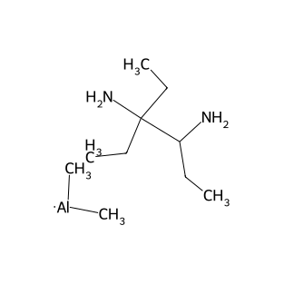 CCC(N)C(N)(CC)CC.[CH3][Al][CH3]